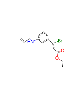 C=CCNc1cccc(C(Br)=CC(=O)OCC)c1